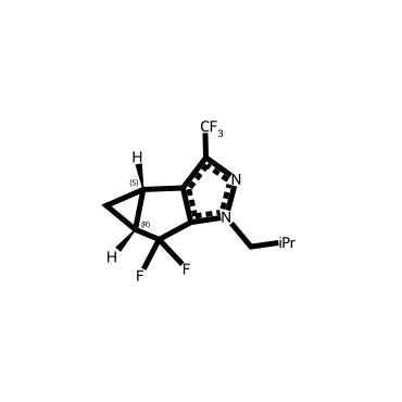 CC(C)Cn1nc(C(F)(F)F)c2c1C(F)(F)[C@@H]1C[C@H]21